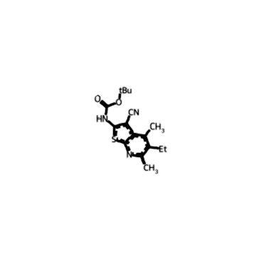 CCc1c(C)nc2sc(NC(=O)OC(C)(C)C)c(C#N)c2c1C